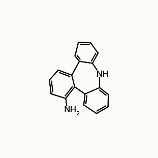 Nc1cccc2c1-c1ccccc1Nc1ccccc1-2